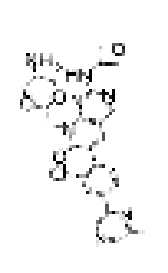 Cc1cncc(-c2ccc(-c3cc4cnc(NC5COC5)nc4n(C[C@H]4OC[C@H](N)CO4)c3=O)c(Cl)c2)n1